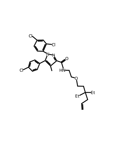 C=CCC(CC)(CC)CCOCCNC(=O)c1nn(-c2ccc(Cl)cc2Cl)c(-c2ccc(Cl)cc2)c1C